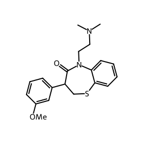 COc1cccc(C2CSc3ccccc3N(CCN(C)C)C2=O)c1